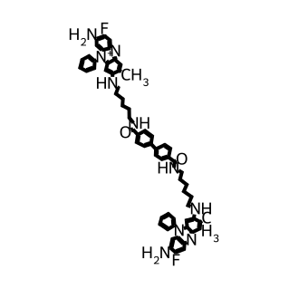 CC1=CC2=Nc3cc(F)c(N)cc3N(c3ccccc3)C2C=C1NCCCCCCNC(=O)c1ccc(-c2ccc(C(=O)NCCCCCCNc3cc4c(cc3C)nc3cc(F)c(N)cc3[n+]4-c3ccccc3)cc2)cc1